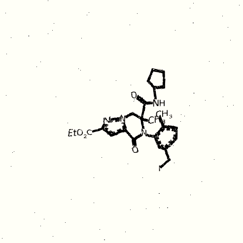 CCOC(=O)c1cc2n(n1)CC(C)(C(=O)NC1CCCC1)N(c1cc(CI)ccc1C)C2=O